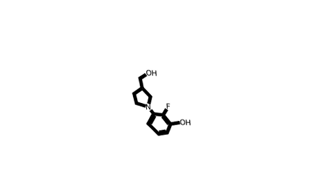 OCC1CCN(c2cccc(O)c2F)C1